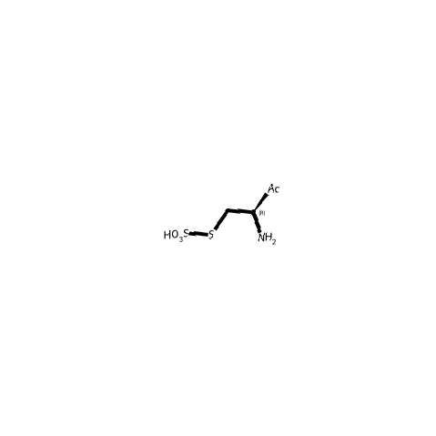 CC(=O)[C@@H](N)CSS(=O)(=O)O